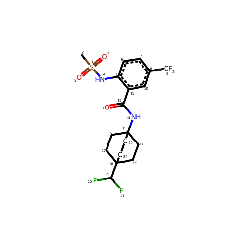 CS(=O)(=O)Nc1ccc(C(F)(F)F)cc1C(=O)NC12CCC(C(F)F)(CC1)CC2